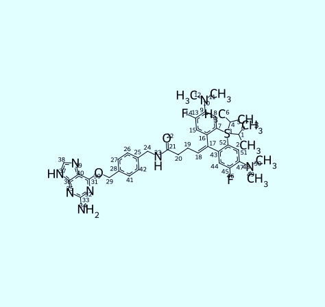 CC(C)S1(C(C)C)c2cc(N(C)C)c(F)cc2C(=CCCC(=O)NCc2ccc(COc3nc(N)nc4[nH]cnc34)cc2)c2cc(F)c(N(C)C)cc21